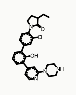 CCC1CCN(c2ccc(-c3cccc(-c4ccnc(N5CCNCC5)c4)c3O)cc2Cl)C1=O